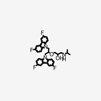 CC(C)NCC(O)COC(Cn1c2ccc(F)cc2c2cc(F)ccc21)Cn1c2ccc(F)cc2c2cc(F)ccc21